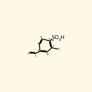 C=Cc1ccc(S(=O)(=O)O)c(C)c1